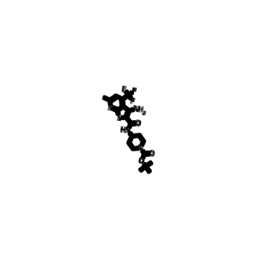 Cc1cc(C(F)(F)F)c2c(N)c(C(=O)NC3CCN(C(=O)OC(C)(C)C)CC3)sc2n1